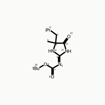 CC(C)CC1(C)NC(=NC(=O)OC(C)(C)C)NC1=O